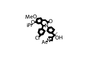 COc1cc2c(cc1OC(C)C)C(c1ccc(Cl)cc1)N(c1ccc([C@@](C)(O)C3CN(C(C)=O)C3)cc1)C(=O)C2